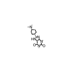 CN(C)c1ccc(-c2nc3c([nH]2)c(=O)n(C)c(=O)n3C)cc1